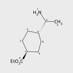 CCOC(=O)[C@H]1CC[C@H](C(C)N)CC1